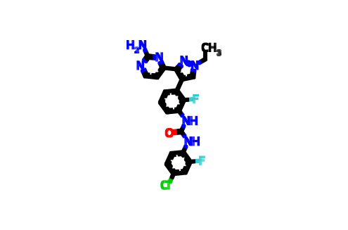 CCn1cc(-c2cccc(NC(=O)Nc3ccc(Cl)cc3F)c2F)c(-c2ccnc(N)n2)n1